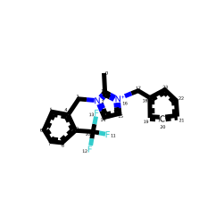 Cc1n(Cc2ccccc2C(F)(F)F)cc[n+]1Cc1ccccc1